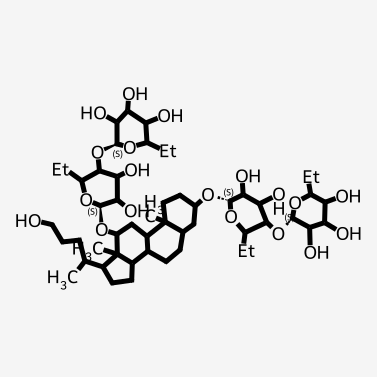 CCC1O[C@@H](OC2C(CC)O[C@H](OC3CC4C(CCC5CC(O[C@H]6OC(CC)C(O[C@@H]7OC(CC)C(O)C(O)C7O)C(O)C6O)CCC54C)C4CCC(C(C)CCCO)C34C)C(O)C2O)C(O)C(O)C1O